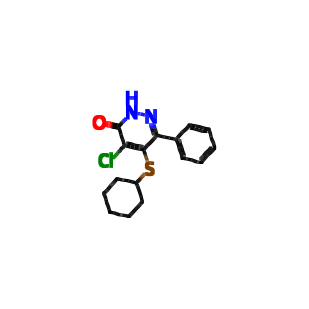 O=c1[nH]nc(-c2ccccc2)c(SC2CCCCC2)c1Cl